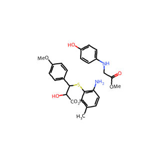 COC(=O)CNc1ccc(O)cc1.COc1ccc(C(Sc2cc(C)ccc2N)C(O)C(=O)O)cc1